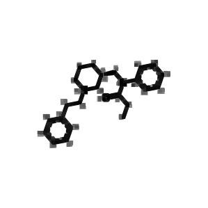 CCC(=O)N(C[C@@H]1CCCN(CCc2ccccc2)C1)c1ccccc1